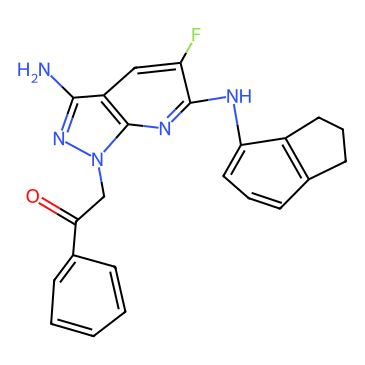 Nc1nn(CC(=O)c2ccccc2)c2nc(Nc3cccc4c3CCC4)c(F)cc12